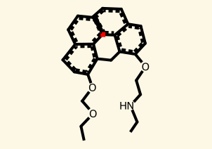 CCNCCOc1ccc2ccccc2c1Cc1c(OCOCC)ccc2ccccc12